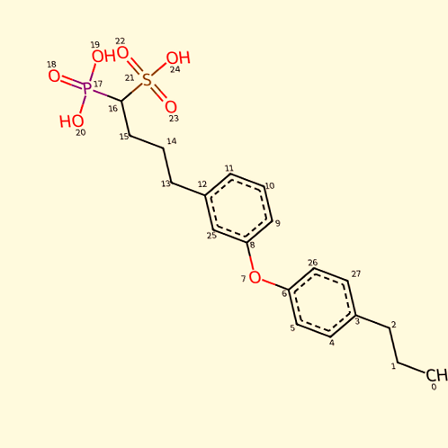 CCCc1ccc(Oc2cccc(CCCC(P(=O)(O)O)S(=O)(=O)O)c2)cc1